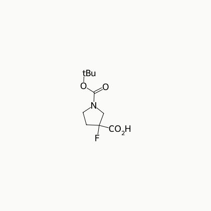 CC(C)(C)OC(=O)N1CCC(F)(C(=O)O)C1